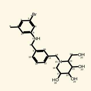 Cc1cc(Br)cc(NCc2cccc(CN3CC(O)C(O)C(O)C3CO)c2)c1